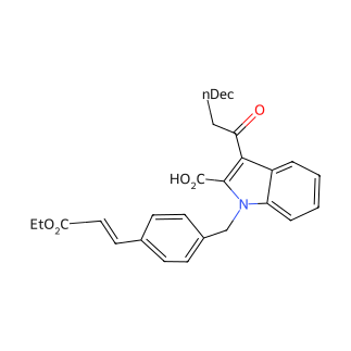 CCCCCCCCCCCC(=O)c1c(C(=O)O)n(Cc2ccc(C=CC(=O)OCC)cc2)c2ccccc12